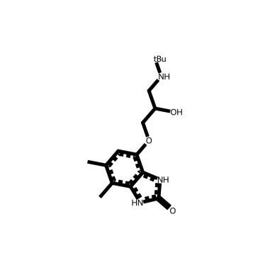 Cc1cc(OCC(O)CNC(C)(C)C)c2[nH]c(=O)[nH]c2c1C